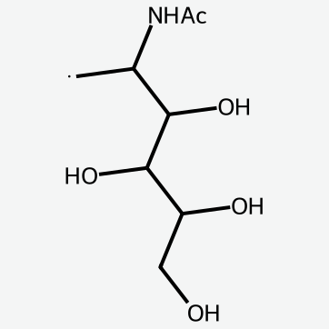 [CH2]C(NC(C)=O)C(O)C(O)C(O)CO